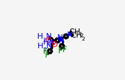 [CH2]CN(C[CH2])c1ccc(-c2nc3cc(C(CC(N)=O)NC(=O)[C@@H](N)Cc4ccc(F)c(F)c4)ccc3n2Cc2ccc(F)c(F)c2)cc1